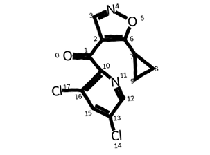 O=C(c1cnoc1C1CC1)c1ncc(Cl)cc1Cl